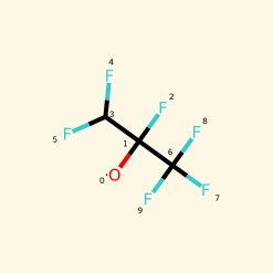 [O]C(F)(C(F)F)C(F)(F)F